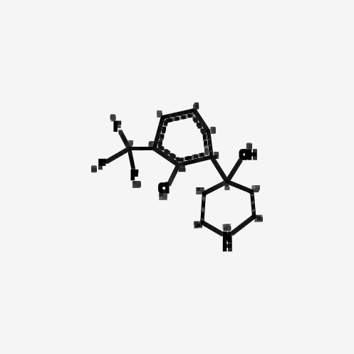 OC1(c2cccc(C(F)(F)F)c2Cl)CCNCC1